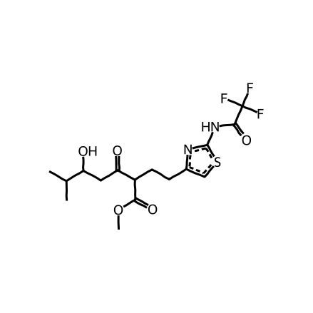 COC(=O)C(CCc1csc(NC(=O)C(F)(F)F)n1)C(=O)CC(O)C(C)C